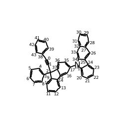 C(#CC1(c2ccccc2)c2ccccc2-c2cc(-n3c4ccccc4c4cc5ccccc5cc43)ccc21)c1ccccc1